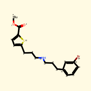 CC(C)(C)OC(=O)c1ccc(CCCNCCCc2cccc(Br)c2)s1